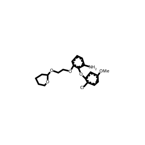 COc1ccc(Cl)c(Oc2c(N)cccc2OCCOC2CCCCO2)c1